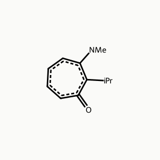 CNc1ccccc(=O)c1C(C)C